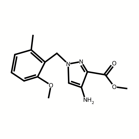 COC(=O)c1nn(Cc2c(C)cccc2OC)cc1N